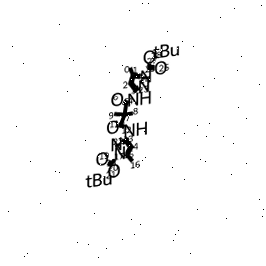 Cc1cc(NC(=O)C(C)(C)C(=O)Nc2cc(C)n(C(=O)OC(C)(C)C)n2)nn1C(=O)OC(C)(C)C